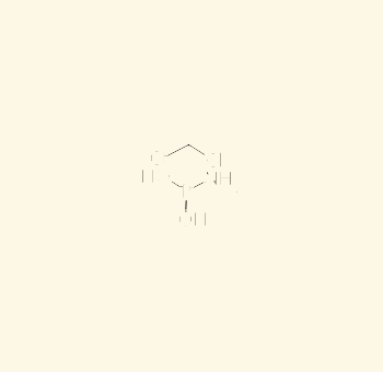 ClCCl.NP(O)O